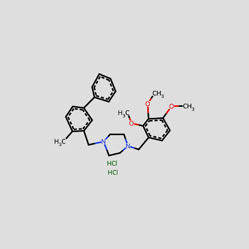 COc1ccc(CN2CCN(Cc3cc(-c4ccccc4)ccc3C)CC2)c(OC)c1OC.Cl.Cl